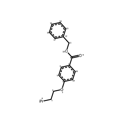 CC(C)CCOc1ccc(C(=O)OCc2ccccc2)cc1